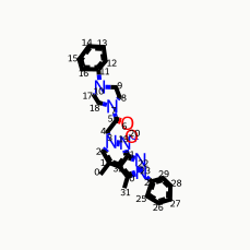 Cc1cn(CC(=O)N2CCN(c3ccccc3)CC2)[n+](=O)c2nn(-c3ccccc3)c(C)c12